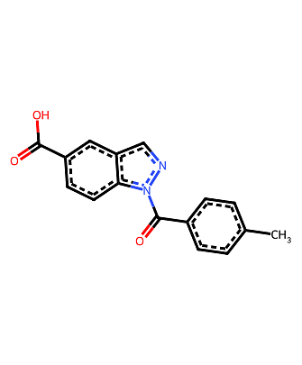 Cc1ccc(C(=O)n2ncc3cc(C(=O)O)ccc32)cc1